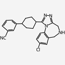 N#Cc1cccc(C2CCC(c3nnc4n3-c3ccc(Cl)cc3CNC4)CC2)c1